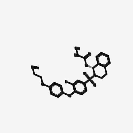 COCCOc1ccc(Oc2ccc(S(=O)(=O)N3CCc4ccccc4[C@H]3OC(=O)NO)cc2F)cc1